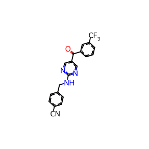 N#Cc1ccc(CNc2ncc(C(=O)c3cccc(C(F)(F)F)c3)cn2)cc1